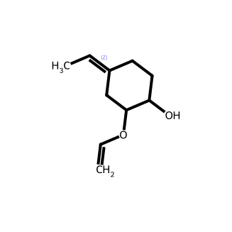 C=COC1C/C(=C\C)CCC1O